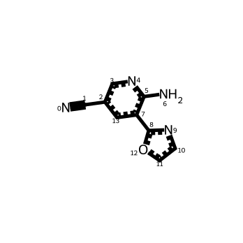 N#Cc1cnc(N)c(-c2ncco2)c1